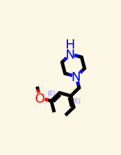 C/C=C(\C=C(/C)OC)CN1CCNCC1